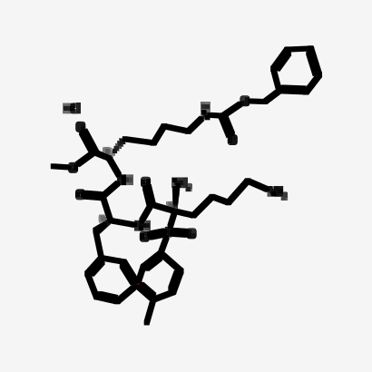 COC(=O)[C@H](CCCCNC(=O)OCc1ccccc1)NC(=O)[C@H](Cc1ccccc1)NC(=O)[C@](N)(CCCCN)S(=O)(=O)c1ccc(C)cc1.Cl